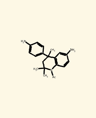 CC(=O)N1c2ccc(N)cc2C(C)(c2ccc(N)cc2)CC1(C)C